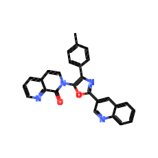 Cc1ccc(-c2nc(-c3cnc4ccccc4c3)oc2-n2ccc3cccnc3c2=O)cc1